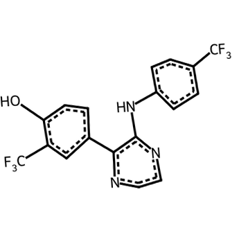 Oc1ccc(-c2nccnc2Nc2ccc(C(F)(F)F)cc2)cc1C(F)(F)F